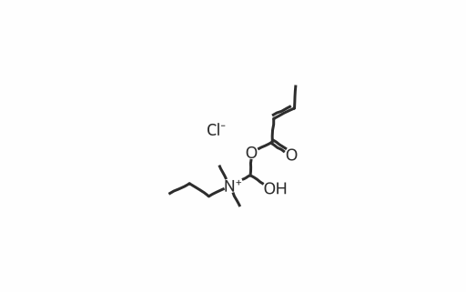 CC=CC(=O)OC(O)[N+](C)(C)CCC.[Cl-]